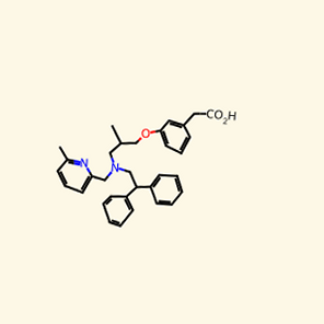 Cc1cccc(CN(CC(C)COc2cccc(CC(=O)O)c2)CC(c2ccccc2)c2ccccc2)n1